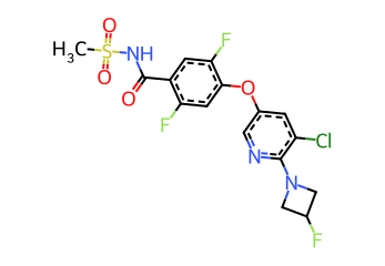 CS(=O)(=O)NC(=O)c1cc(F)c(Oc2cnc(N3CC(F)C3)c(Cl)c2)cc1F